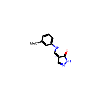 COc1cccc(N/C=C2/C=NNC2=O)c1